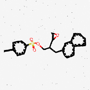 Cc1ccc(S(=O)(=O)OCC(Cc2ccc3ccccc3c2)C2CO2)cc1